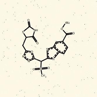 CC(C)(C)OC(=O)c1ccc2nc(C(c3nnc(CC4SC(=O)NC4=O)o3)S(C)(=O)=O)sc2c1